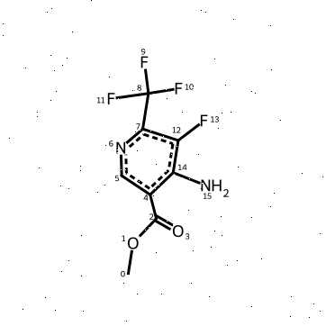 COC(=O)c1cnc(C(F)(F)F)c(F)c1N